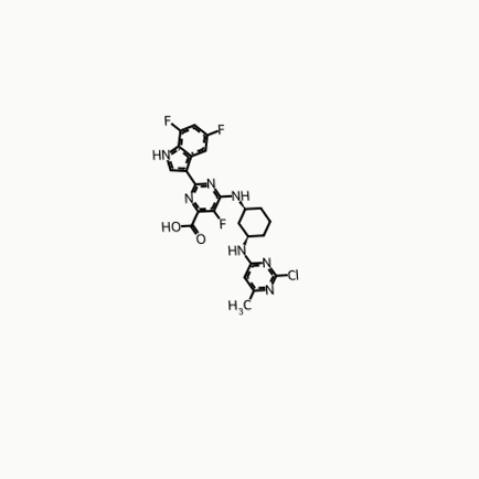 Cc1cc(N[C@@H]2CCC[C@H](Nc3nc(-c4c[nH]c5c(F)cc(F)cc45)nc(C(=O)O)c3F)C2)nc(Cl)n1